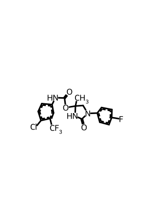 CC1(OC(=O)Nc2ccc(Cl)c(C(F)(F)F)c2)CN(c2ccc(F)cc2)C(=O)N1